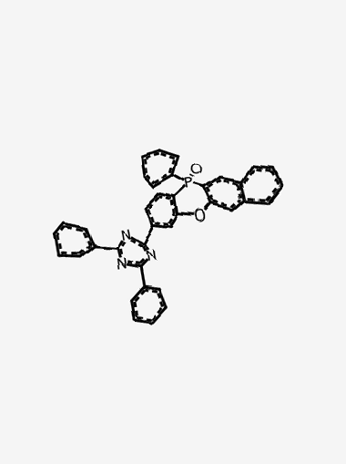 O=P1(c2ccccc2)c2ccc(-c3nc(-c4ccccc4)nc(-c4ccccc4)n3)cc2Oc2cc3ccccc3cc21